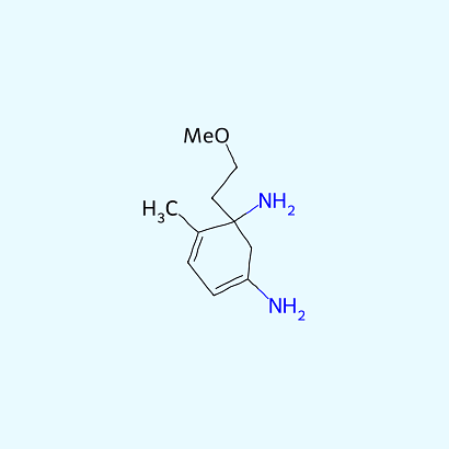 COCCC1(N)CC(N)=CC=C1C